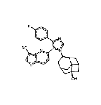 N#Cc1cnc2ccc(-c3c(-c4ccc(F)cc4)ncn3C34CC5CC6(O)CC(C3)C6(C5)C4)nn12